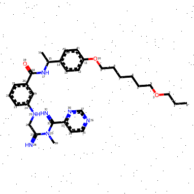 CCCOCCCCCCOc1ccc(C(C)NC(=O)c2cccc(NCC(=N)N(C)C(=N)c3ccncn3)c2)cc1